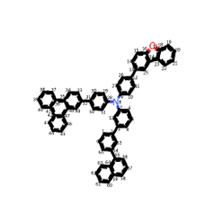 c1cc(-c2cccc(N(c3ccc(-c4ccc5oc6ccccc6c5c4)cc3)c3ccc(-c4ccc5c6ccccc6c6ccccc6c5c4)cc3)c2)cc(-c2cccc3ccccc23)c1